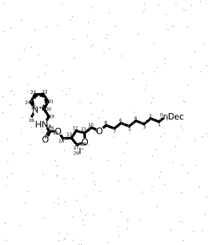 CCCCCCCCCCCCCCCCCCOCC1CC(COC(=O)NCc2cccc[n+]2C)CO1.[I-]